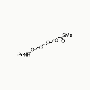 CSC(=O)COCCOCCOCCOCCNC(C)C